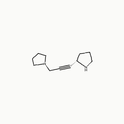 C(#C[C@@H]1CCCN1)CN1CCCC1